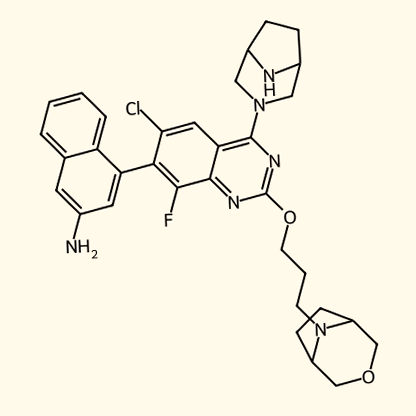 Nc1cc(-c2c(Cl)cc3c(N4CC5CCC(C4)N5)nc(OCCCN4C5CCC4COC5)nc3c2F)c2ccccc2c1